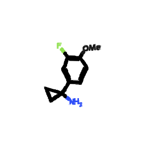 COc1ccc(C2(N)CC2)cc1F